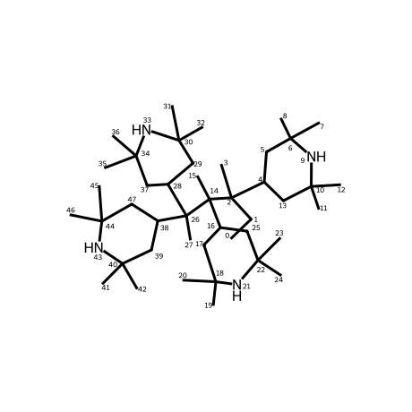 CCC(C)(C1CC(C)(C)NC(C)(C)C1)C(C)(C1CC(C)(C)NC(C)(C)C1)C(C)(C1CC(C)(C)NC(C)(C)C1)C1CC(C)(C)NC(C)(C)C1